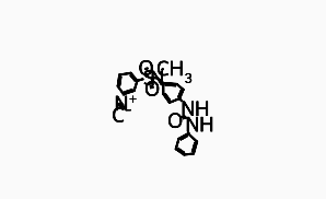 [C-]#[N+]c1cccc(S(=O)(=O)N(C)c2ccc(NC(=O)Nc3ccccc3)cc2)c1